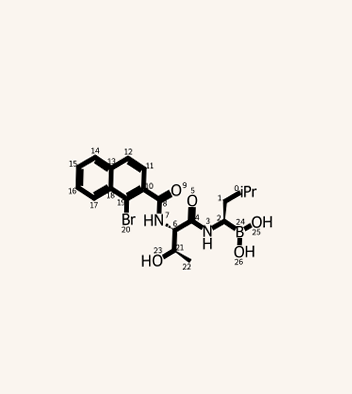 CC(C)C[C@H](NC(=O)[C@@H](NC(=O)c1ccc2ccccc2c1Br)[C@@H](C)O)B(O)O